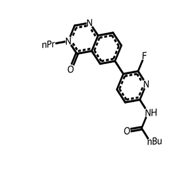 CCCCC(=O)Nc1ccc(-c2ccc3ncn(CCC)c(=O)c3c2)c(F)n1